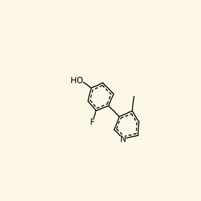 Cc1ccncc1-c1ccc(O)cc1F